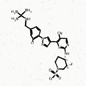 BC(B)(B)NCc1ccc(-n2cc(-c3nc(N[C@H]4CCN(S(=O)(=O)CC)C[C@H]4F)ncc3C#N)cn2)c(Cl)c1